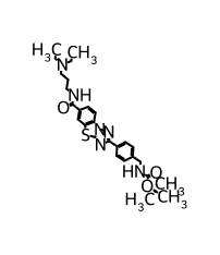 CCN(CC)CCCNC(=O)c1ccc2c(c1)sc1nc(-c3ccc(CNC(=O)OC(C)(C)C)cc3)nn12